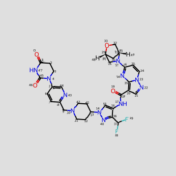 O=C1CCN(c2ccc(CN3CCC(n4cc(NC(=O)c5cnn6ccc(N7C[C@H]8C[C@@H]7CO8)nc56)c(C(F)F)n4)CC3)nc2)C(=O)N1